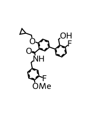 COc1ccc(CNC(=O)c2cc(-c3cccc(F)c3CO)ccc2OCC2CC2)cc1F